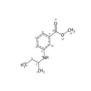 CCC(C)Nc1cccc(C(=O)OC)c1